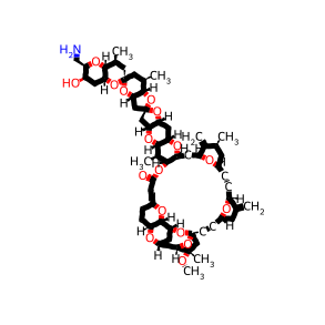 C=C1C[C@@H]2CC[C@]34C[C@@](C)(OC)[C@H](O3)[C@H]3C[C@@H](O4)[C@H]4O[C@H](CC[C@@H]4O3)CC(=O)O[C@@H]3[C@@H](C)[C@@H]4O[C@@H]5C[C@]6(C[C@@H]7O[C@]8(C[C@H](C)[C@@H]9O[C@H](CN)[C@H](O)C[C@@H]9O8)C[C@H](C)[C@@H]7O6)O[C@@H]5C[C@@H]4O[C@H]3C[C@H]3O[C@@H](CC[C@@H]1O2)C[C@@H](C)C3=C